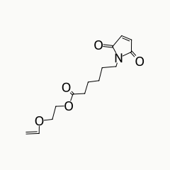 C=COCCOC(=O)CCCCCN1C(=O)C=CC1=O